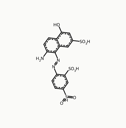 Nc1ccc2c(O)cc(S(=O)(=O)O)cc2c1N=Nc1ccc([SH](=O)=O)cc1S(=O)(=O)O